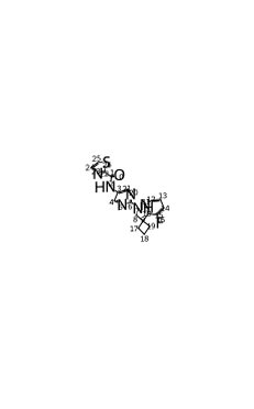 O=C(Nc1cnc(NCC2(c3ncccc3F)CCC2)nc1)c1nccs1